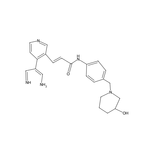 N=C/C(=C\N)c1ccncc1/C=C/C(=O)Nc1ccc(CN2CCCC(O)C2)cc1